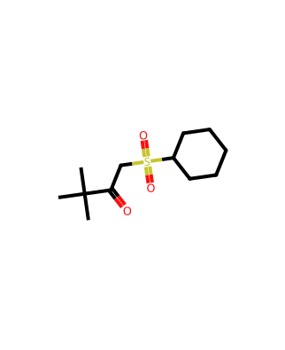 CC(C)(C)C(=O)CS(=O)(=O)C1CCCCC1